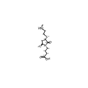 CNCCSC1CC(=O)N(CCCC(=O)O)C1=O